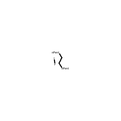 CCCCCCCCCCCC.FI